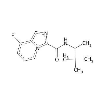 CC(NC(=O)c1ncc2c(F)cccn12)C(C)(C)C